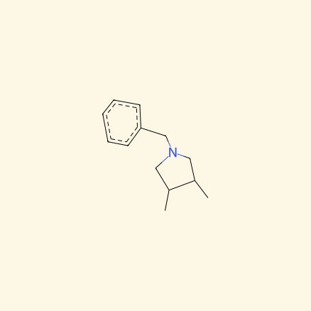 CC1CN(Cc2ccccc2)CC1C